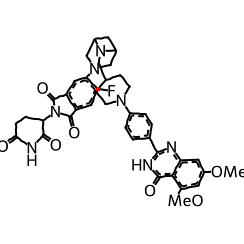 COc1cc(OC)c2c(=O)[nH]c(-c3ccc(N4CCC(CN5C6CC5CN(c5cc7c(cc5F)C(=O)N(C5CCC(=O)NC5=O)C7=O)C6)CC4)cc3)nc2c1